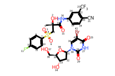 C[C@](O)(CS(=O)(=O)c1ccc(F)cc1)C(=O)Nc1ccc(C#N)c(C(F)(F)F)c1.O=c1[nH]c(=O)n([C@H]2C[C@H](O)[C@@H](CO)O2)cc1Br